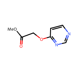 COC(=O)COc1c[c]ncn1